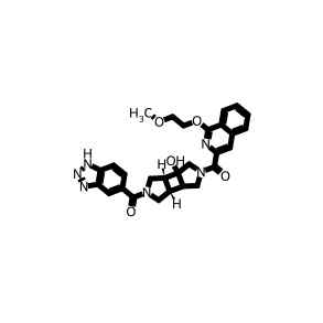 COCCOc1nc(C(=O)N2CC3[C@H]4CN(C(=O)c5ccc6[nH]nnc6c5)C[C@H]4C3(O)C2)cc2ccccc12